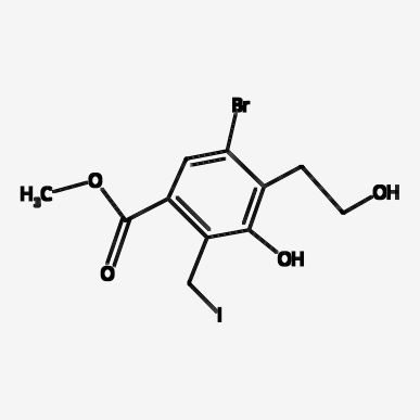 COC(=O)c1cc(Br)c(CCO)c(O)c1CI